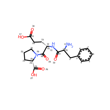 N[C@@H](Cc1ccccc1)C(=O)N[C@@H](CCC(=O)O)C(=O)N1CCC[C@H]1C(=O)O